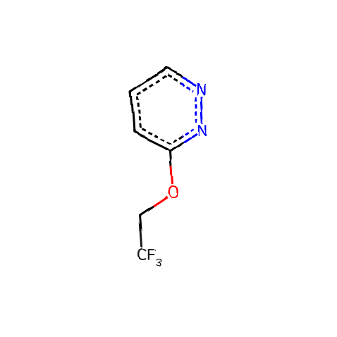 FC(F)(F)COc1cccnn1